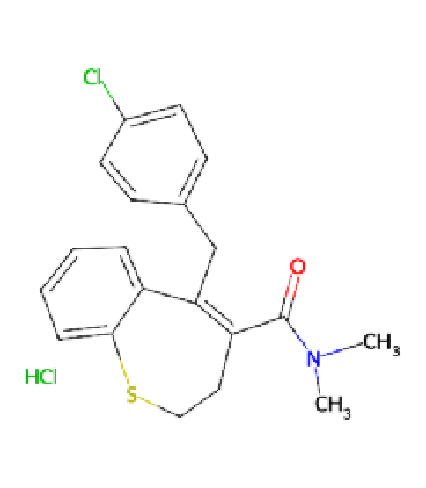 CN(C)C(=O)C1=C(Cc2ccc(Cl)cc2)c2ccccc2SCC1.Cl